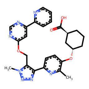 Cc1nc(-c2nnn(C)c2COc2cc(-c3ccccn3)ncn2)ccc1O[C@H]1CCC[C@H](C(=O)O)C1